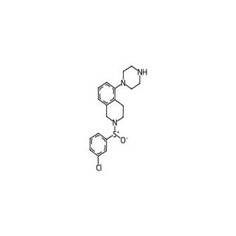 [O-][S+](c1cccc(Cl)c1)N1CCc2c(cccc2N2CCNCC2)C1